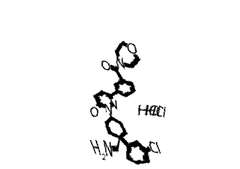 Cl.Cl.NC[C@]1(c2cccc(Cl)c2)CC[C@H](n2nc(-c3cccc(C(=O)N4CCOCC4)c3)ccc2=O)CC1